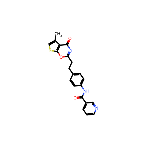 Cc1csc2oc(CCc3ccc(NC(=O)c4cccnc4)cc3)nc(=O)c12